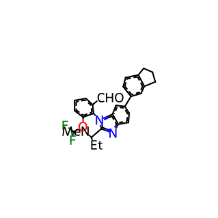 CCC(NC)c1nc2ccc(-c3ccc4c(c3)CCC4)cc2n1-c1c(C=O)cccc1OC(F)F